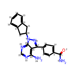 NC(=O)c1ccc(-c2nn(C3Cc4ccccc4C3)c3ncnc(N)c23)cc1